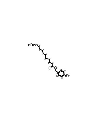 CCCCCCCCCCCCCCCCCCCC(=O)OCc1ccc(CC)cc1